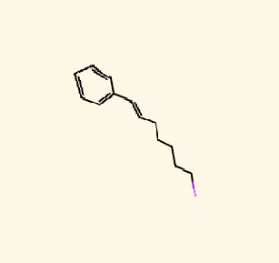 ICCCCCC=Cc1ccccc1